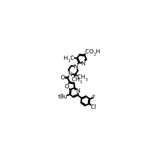 Cc1cc(C(=O)O)cnc1N1CCN(C(=O)c2cc3nc(-c4ccc(Cl)c(F)c4)cc(C(C)(C)C)c3o2)C(C)(C)C1